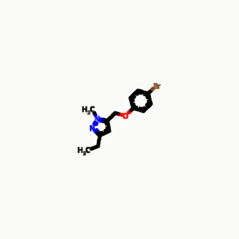 CCc1cc(COc2ccc(Br)cc2)n(C)n1